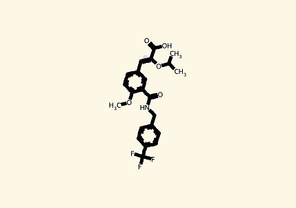 COc1ccc(/C=C(\OC(C)C)C(=O)O)cc1C(=O)NCc1ccc(C(F)(F)F)cc1